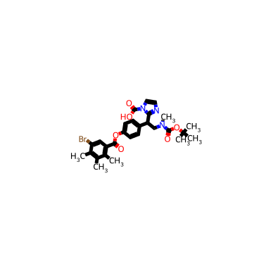 Cc1c(Br)cc(C(=O)Oc2ccc(C(CN(C)C(=O)OC(C)(C)C)c3nccn3C(=O)O)cc2)c(C)c1C